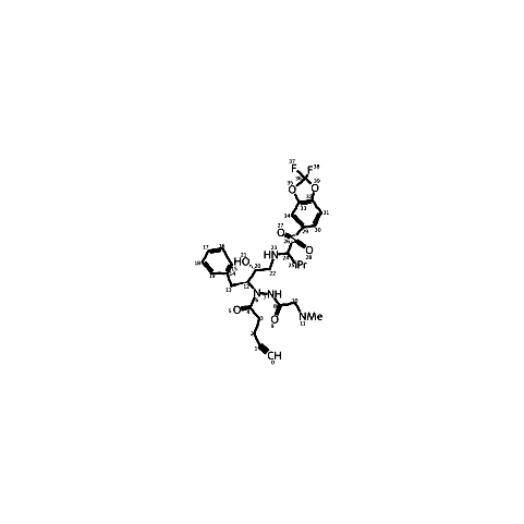 C#CCCC(=O)N(NC(=O)CNC)[C@@H](Cc1ccccc1)[C@H](O)CNC(C(C)C)S(=O)(=O)c1ccc2c(c1)OC(F)(F)O2